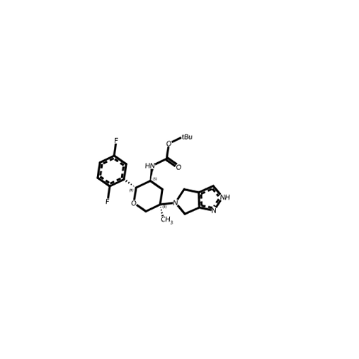 CC(C)(C)OC(=O)N[C@H]1C[C@@](C)(N2Cc3c[nH]nc3C2)CO[C@@H]1c1cc(F)ccc1F